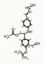 CC(=O)OCC(Nc1ccc(C=NNO)cc1)c1ccc(OC(C)C)c(CO)c1